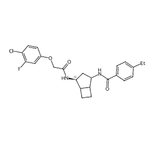 CCc1ccc(C(=O)NC2C[C@H](NC(=O)COc3ccc(Cl)c(F)c3)C3CCC23)cc1